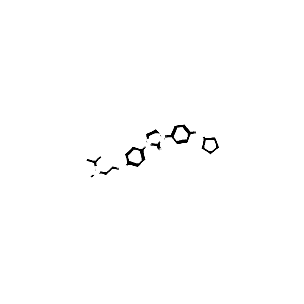 CC(C)N(C)CCOc1ccc(-n2ccn(-c3ccc(OC4CCCC4)cc3)c2=O)cc1